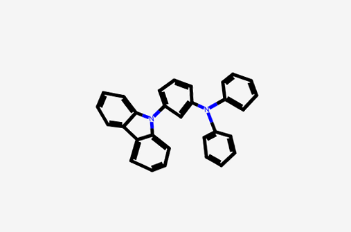 c1ccc(N(c2ccccc2)c2cccc(-n3c4ccccc4c4ccccc43)c2)cc1